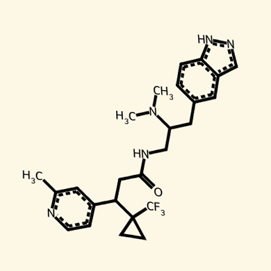 Cc1cc(C(CC(=O)NCC(Cc2ccc3[nH]ncc3c2)N(C)C)C2(C(F)(F)F)CC2)ccn1